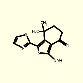 CSc1sc(-c2nccs2)c2c1C(=O)CCC2(C)C